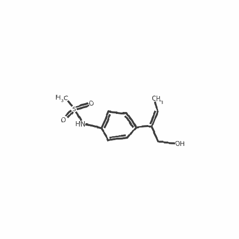 C/C=C(/CO)c1ccc(NS(C)(=O)=O)cc1